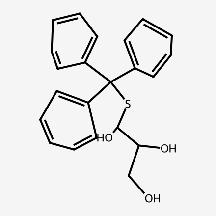 OCC(O)C(O)SC(c1ccccc1)(c1ccccc1)c1ccccc1